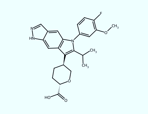 COc1cc(-n2c(C(C)C)c([C@@H]3CC[C@@H](C(=O)O)OC3)c3cc4[nH]ncc4cc32)ccc1F